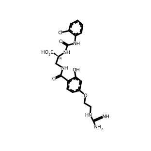 N=C(N)NCCOc1ccc(C(=O)NC[C@H](NC(=O)Nc2ccccc2Cl)C(=O)O)c(O)c1